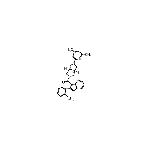 Cc1cc(C)nc(N2C[C@H]3CN(C(=O)c4c(-c5ccccc5C)cn5ccccc45)C[C@H]3C2)n1